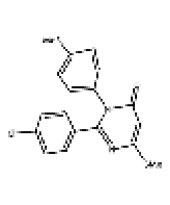 CSc1ccc(-n2c(-c3ccc(Cl)cc3)nc(SC)cc2=O)cc1